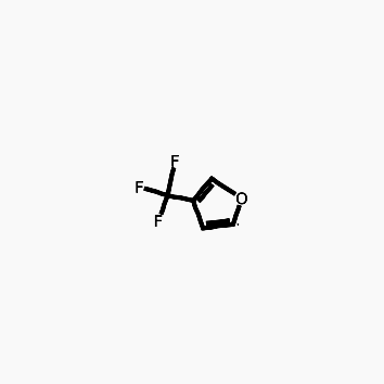 FC(F)(F)c1c[c]oc1